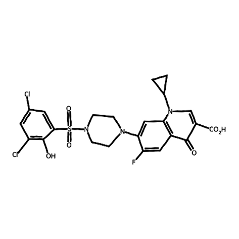 O=C(O)c1cn(C2CC2)c2cc(N3CCN(S(=O)(=O)c4cc(Cl)cc(Cl)c4O)CC3)c(F)cc2c1=O